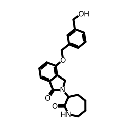 O=C1NCCCCC1N1Cc2c(OCc3cccc(CO)c3)cccc2C1=O